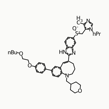 CCCCOCCOc1ccc(-c2ccc3c(c2)/C=C(/c2nc4cc([S@+]([O-])Cc5c(C)ncn5CCC)ccc4[nH]2)CCCN3CC2CCOCC2)cc1